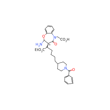 CCOC(=O)C(CCCCC1CCN(C(=O)c2ccccc2)CC1)[C@@H]1C(=O)N(CC(=O)O)c2ccccc2OC1N